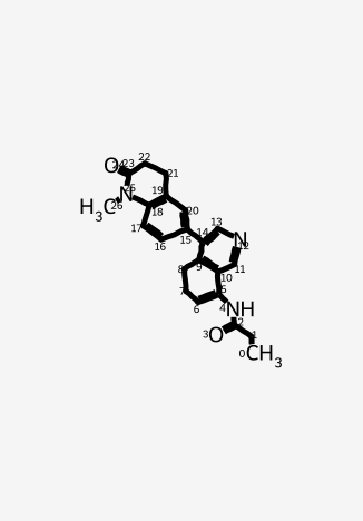 CCC(=O)NC1=CCCc2c1cncc2-c1ccc2c(c1)CCC(=O)N2C